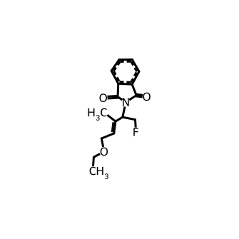 CCOC/C=C(\C)C(CF)N1C(=O)c2ccccc2C1=O